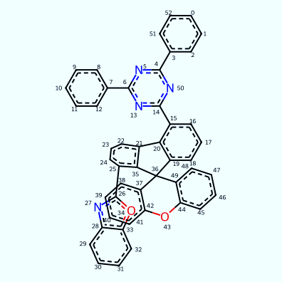 c1ccc(-c2nc(-c3ccccc3)nc(-c3cccc4c3-c3cccc(-c5nc6ccccc6o5)c3C43c4ccccc4Oc4ccccc43)n2)cc1